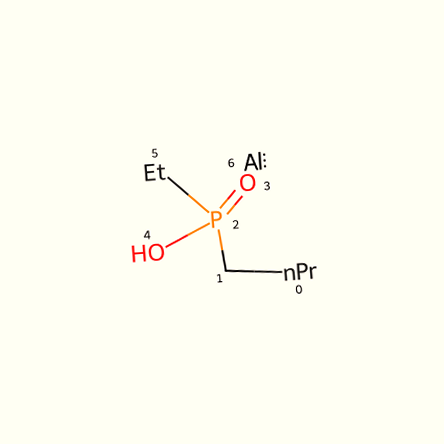 CCCCP(=O)(O)CC.[Al]